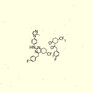 Cc1nccn1-c1ccc(Nc2nc3c(c(Cc4ccc(F)cc4)n2)CC(C(F)(F)F)CC3)cc1.O=C1CCC(C(F)(F)F)CC1C(=O)Cc1ccc(F)cc1